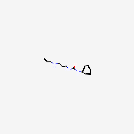 C=CCNCCCNC(=O)Nc1ccccc1